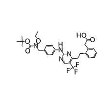 CCON(Cc1ccc(Nc2ncc(C(F)(F)F)c(CCc3ccccc3CC(=O)O)n2)cc1)C(=O)OC(C)(C)C